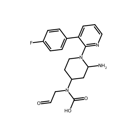 NC1CC(N(CC=O)C(=O)O)CCN1c1ncccc1-c1ccc(F)cc1